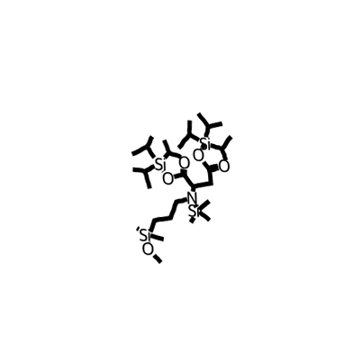 CO[Si](C)(C)CCCN(C(CC(=O)O[Si](C(C)C)(C(C)C)C(C)C)C(=O)O[Si](C(C)C)(C(C)C)C(C)C)[Si](C)(C)C